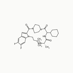 CN[C@@H](C)C(=O)NC(C(=O)N1CCN(C(=O)c2cc3cc(F)c(F)cc3n2CCOC)CC1)C1CCCCC1